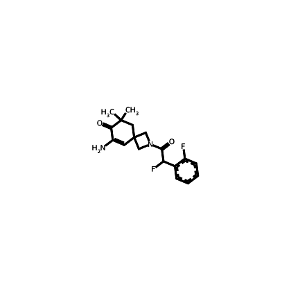 CC1(C)CC2(C=C(N)C1=O)CN(C(=O)C(F)c1ccccc1F)C2